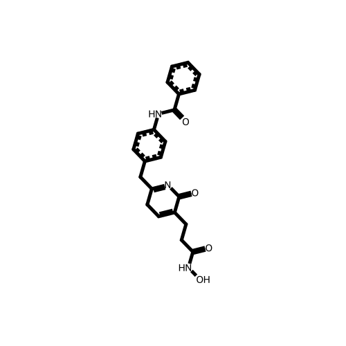 O=C(CCC1=CCC(Cc2ccc(NC(=O)c3ccccc3)cc2)=NC1=O)NO